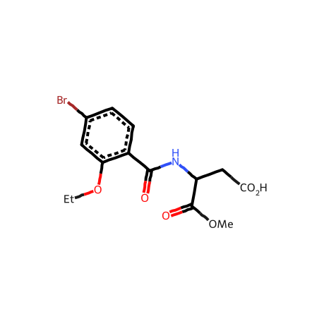 CCOc1cc(Br)ccc1C(=O)NC(CC(=O)O)C(=O)OC